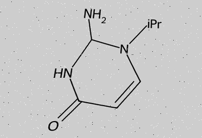 CC(C)N1C=CC(=O)NC1N